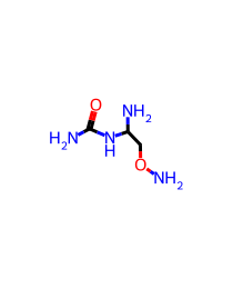 NOCC(N)NC(N)=O